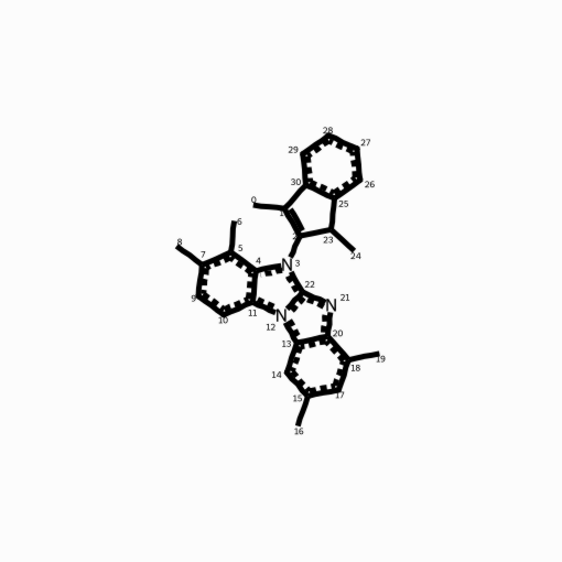 CC1=C(n2c3c(C)c(C)ccc3n3c4cc(C)cc(C)c4nc23)C(C)c2ccccc21